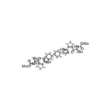 CCC(C)[C@H](NC(=O)OC)C(=O)N1CCC[C@H]1c1ncc(-c2ccc(-c3ccc4nc([C@@H]5CCCN5C(=O)[C@@H](NC(=O)OC)C(C)CC)[nH]c4c3)cc2)[nH]1